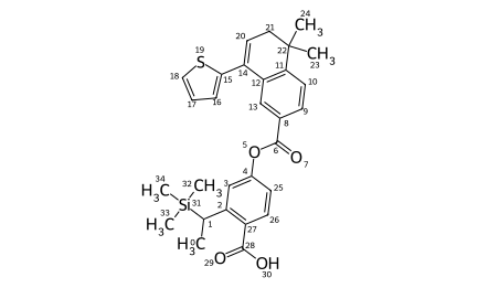 CC(c1cc(OC(=O)c2ccc3c(c2)C(c2cccs2)=CCC3(C)C)ccc1C(=O)O)[Si](C)(C)C